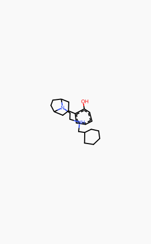 Oc1ccccc1C1CC2CCC(C1)N2CCNCC1CCCCC1